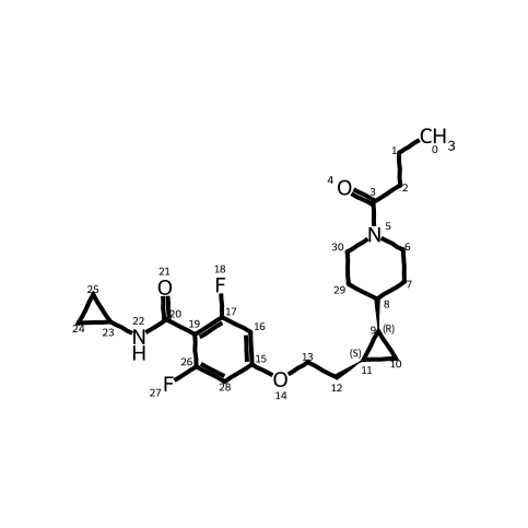 CCCC(=O)N1CCC([C@H]2C[C@H]2CCOc2cc(F)c(C(=O)NC3CC3)c(F)c2)CC1